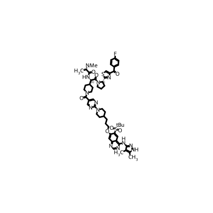 CN[C@@H](C)C(=O)N[C@H](C(=O)N1CCC[C@H]1c1nc(C(=O)c2ccc(F)cc2)cs1)C1CCN(C(=O)c2cnc(N3CCC(CCCOc4cc5ncnc(Nc6n[nH]c(C)c6C)c5cc4S(=O)(=O)C(C)(C)C)CC3)nc2)CC1